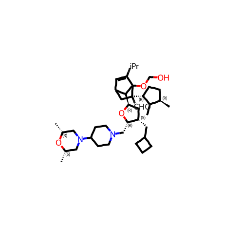 CC(C)C1=CC2CC(C=O)([C@@H]3CC[C@@H](C)C3C)C1(OCO)C2[C@H]1C[C@H](CC2CCC2)[C@H](CN2CCC(N3C[C@@H](C)O[C@@H](C)C3)CC2)O1